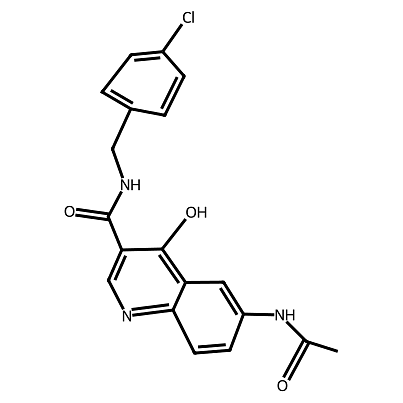 CC(=O)Nc1ccc2ncc(C(=O)NCc3ccc(Cl)cc3)c(O)c2c1